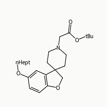 CCCCCCCOc1ccc2c(c1)C1(CCN(CC(=O)OC(C)(C)C)CC1)CO2